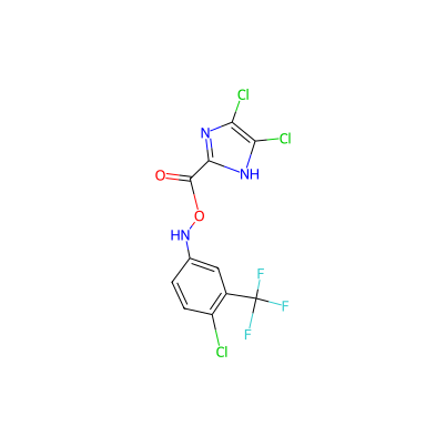 O=C(ONc1ccc(Cl)c(C(F)(F)F)c1)c1nc(Cl)c(Cl)[nH]1